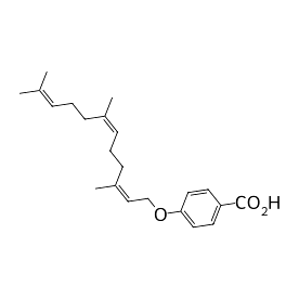 CC(C)=CCCC(C)=CCCC(C)=CCOc1ccc(C(=O)O)cc1